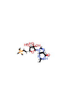 C=P(C)(C)CC[C@H]1OC(n2cnc3c(=O)[nH]c(C)nc32)C(O)(O)[C@@H]1O